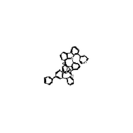 O=C1c2cccc(-n3c4c(-c5ccncc5)cccc4c4cccc(-c5ccncc5)c43)c2C(=O)N1c1ccc(-c2ccccc2)cc1-c1ccccc1